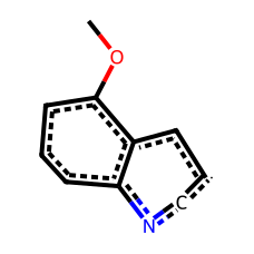 COc1cccc2nc[c]cc12